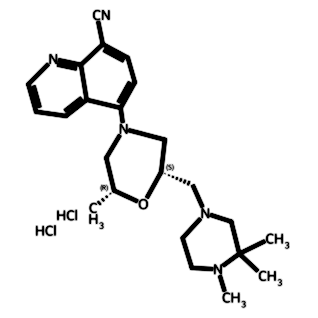 C[C@@H]1CN(c2ccc(C#N)c3ncccc23)C[C@H](CN2CCN(C)C(C)(C)C2)O1.Cl.Cl